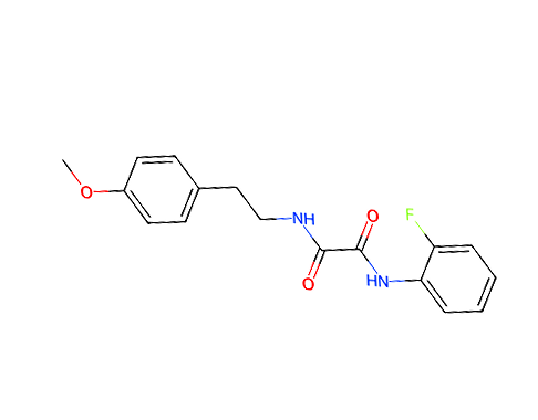 COc1ccc(CCNC(=O)C(=O)Nc2ccccc2F)cc1